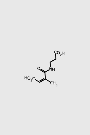 C/C(=C/C(=O)O)C(=O)NCCC(=O)O